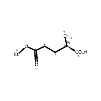 CCOC(=O)CC[C@@H](C)C(=O)O